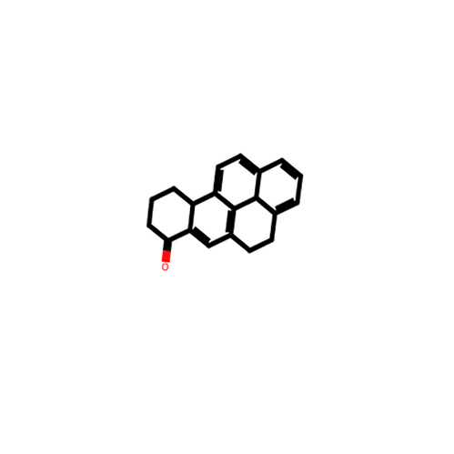 O=C1CCCC2C1=CC1=C3C2=CC=C2C=CC=C(CC1)C23